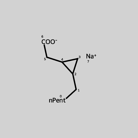 CCCCCCC1CC1CC(=O)[O-].[Na+]